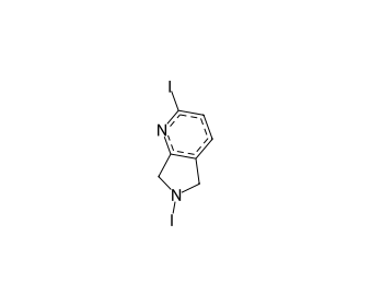 Ic1ccc2c(n1)CN(I)C2